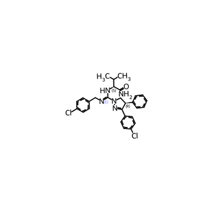 CC(C)[C@H](N/C(=N\Cc1ccc(Cl)cc1)N1C[C@@H](c2ccccc2)C(c2ccc(Cl)cc2)=N1)C(N)=O